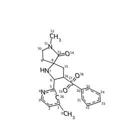 Cc1ccnc(C2NC3(CCN(C)C3=O)CC2S(=O)(=O)c2ccccc2)c1